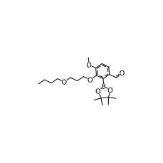 CCCCOCCCOc1c(OC)ccc(C=O)c1B1OC(C)(C)C(C)(C)O1